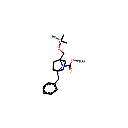 CC(C)(C)OC(=O)N1C2(CO[Si](C)(C)C(C)(C)C)CCC1(Cc1ccccc1)CC2